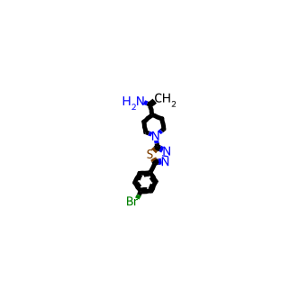 C=C(N)C1CCN(c2nnc(-c3ccc(Br)cc3)s2)CC1